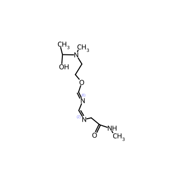 CNC(=O)C/N=C\N=C\OCCN(C)C(C)O